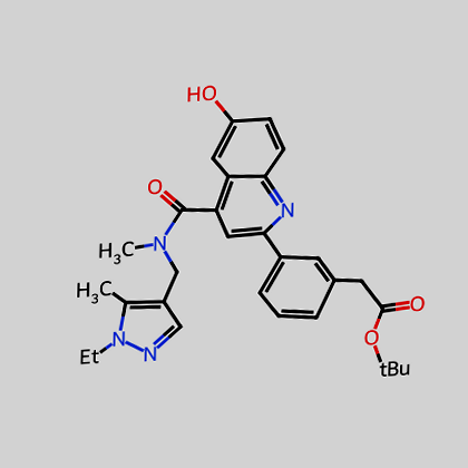 CCn1ncc(CN(C)C(=O)c2cc(-c3cccc(CC(=O)OC(C)(C)C)c3)nc3ccc(O)cc23)c1C